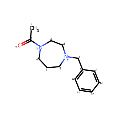 CC(=O)N1CCCN(Cc2ccccc2)CC1